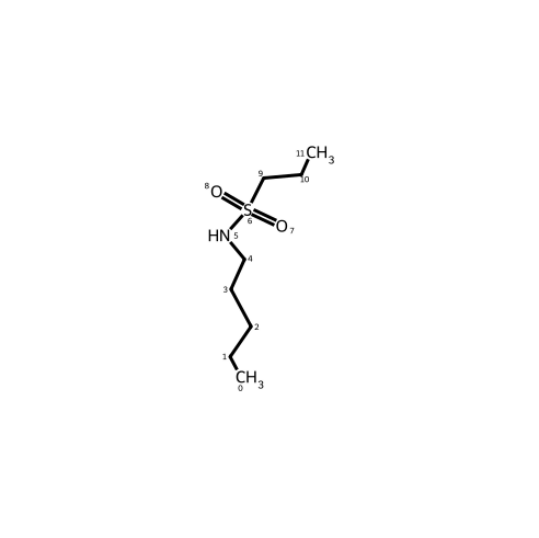 CCCCCNS(=O)(=O)CCC